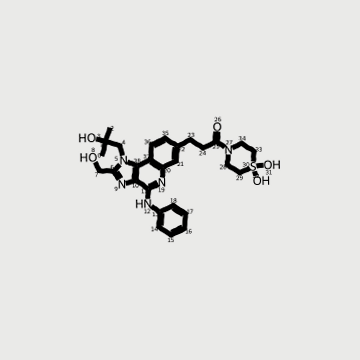 CC(C)(O)Cn1c(CO)nc2c(Nc3ccccc3)nc3cc(CCC(=O)N4CCS(O)(O)CC4)ccc3c21